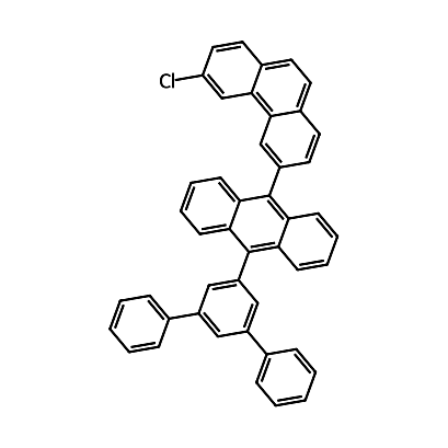 Clc1ccc2ccc3ccc(-c4c5ccccc5c(-c5cc(-c6ccccc6)cc(-c6ccccc6)c5)c5ccccc45)cc3c2c1